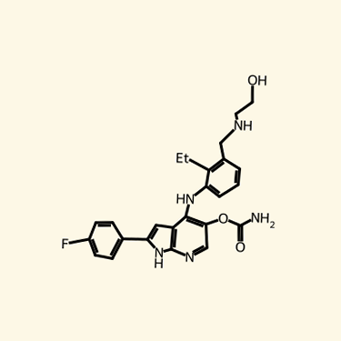 CCc1c(CNCCO)cccc1Nc1c(OC(N)=O)cnc2[nH]c(-c3ccc(F)cc3)cc12